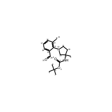 CC1(NC(=O)OC(C)(C)C)CCN(c2c(F)cccc2C=O)C1